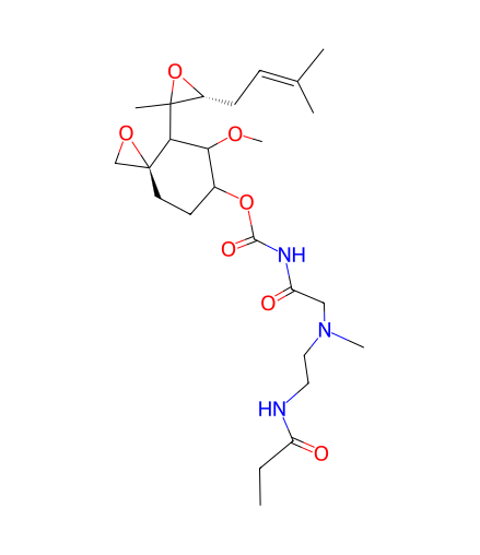 CCC(=O)NCCN(C)CC(=O)NC(=O)OC1CC[C@]2(CO2)C(C2(C)O[C@@H]2CC=C(C)C)C1OC